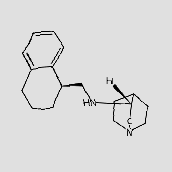 c1ccc2c(c1)CCC[C@@H]2CN[C@H]1CN2CCC1CC2